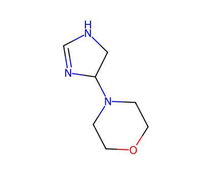 C1=NC(N2CCOCC2)CN1